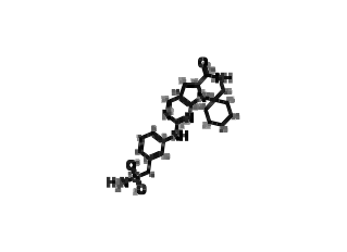 NS(=O)(=O)Cc1cccc(Nc2ncc3cc4n(c3n2)C2(CCCCC2)CNC4=O)c1